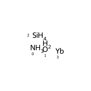 N.O.[SiH4].[Yb]